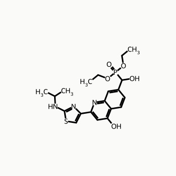 CCOP(=O)(OCC)C(O)c1ccc2c(O)cc(-c3csc(NC(C)C)n3)nc2c1